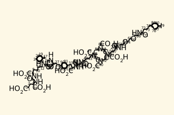 O=C(O)CC[C@H](NC(=O)N[C@@H](CCCCNC(=O)[C@H](Cc1ccccc1)NC(=O)COc1ccc(C[C@H](NC(=O)CNC(=O)CCC(C(=O)O)N2CCN(CC(=O)O)CCN(C(CCC(=O)NCCOCCOCCNC(=O)CCCc3ccc(I)cc3)C(=O)O)CCN(CC(=O)O)CC2)C(=O)O)cc1)C(=O)O)C(=O)O